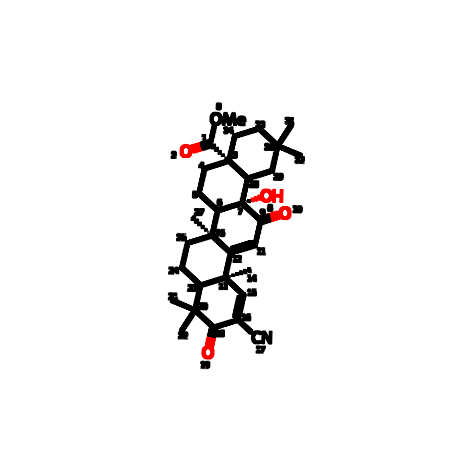 COC(=O)[C@@]12CCC3[C@](O)(C(=O)C=C4[C@@]5(C)C=C(C#N)C(=O)C(C)(C)C5CC[C@]43C)C1CC(C)(C)CC2